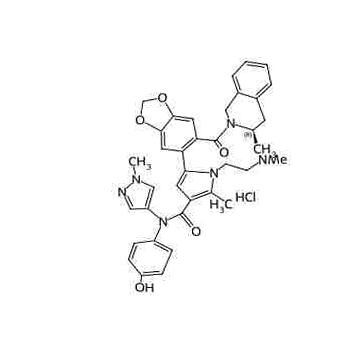 CNCCn1c(-c2cc3c(cc2C(=O)N2Cc4ccccc4C[C@H]2C)OCO3)cc(C(=O)N(c2ccc(O)cc2)c2cnn(C)c2)c1C.Cl